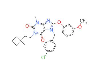 Cn1c(=O)n(CCC2(C)CCC2)c(=O)c2c1nc(Oc1cccc(OC(F)(F)F)c1)n2Cc1ccc(Cl)cc1